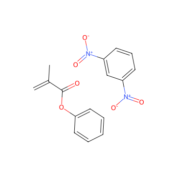 C=C(C)C(=O)Oc1ccccc1.O=[N+]([O-])c1cccc([N+](=O)[O-])c1